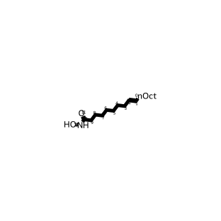 CCCCCCCCC=CCCCCCCCC(=O)NO